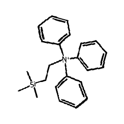 C[Si](C)(C)CC[N+](c1ccccc1)(c1ccccc1)c1ccccc1